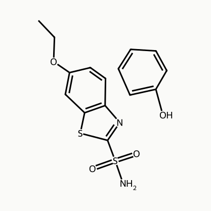 CCOc1ccc2nc(S(N)(=O)=O)sc2c1.Oc1ccccc1